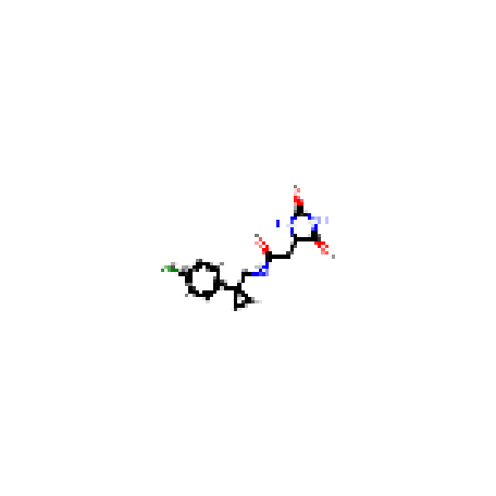 O=C(CC1NC(=O)NC1=O)NCC1(c2ccc(Cl)cc2)CC1